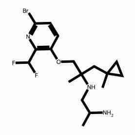 CC(N)CNC(C)(COc1ccc(Br)nc1C(F)F)CC1(C)CC1